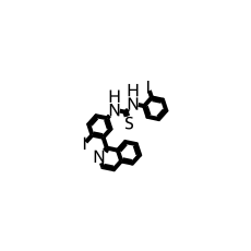 S=C(Nc1ccc(I)c(-c2nccc3ccccc23)c1)Nc1ccccc1I